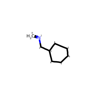 C=NCC1CCCCC1